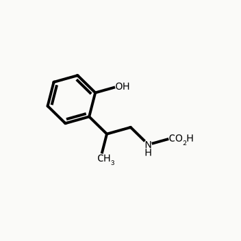 CC(CNC(=O)O)c1ccccc1O